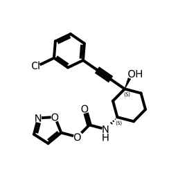 O=C(N[C@H]1CCC[C@@](O)(C#Cc2cccc(Cl)c2)C1)Oc1ccno1